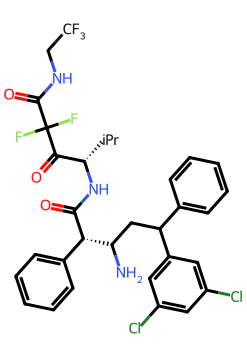 CC(C)[C@H](NC(=O)[C@@H](c1ccccc1)C(N)CC(c1ccccc1)c1cc(Cl)cc(Cl)c1)C(=O)C(F)(F)C(=O)NCC(F)(F)F